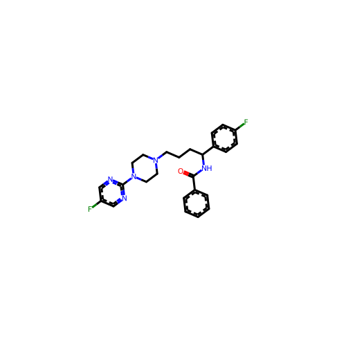 O=C(NC(CCCN1CCN(c2ncc(F)cn2)CC1)c1ccc(F)cc1)c1ccccc1